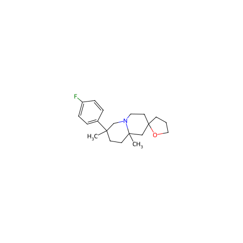 CC1(c2ccc(F)cc2)CCC2(C)CC3(CCCO3)CCN2C1